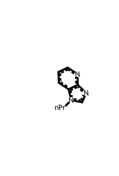 [CH2]CCn1cnc2ncccc21